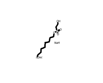 CCCCCCCCCCCCCCCCCCOS(=O)(=O)CCO.[NaH]